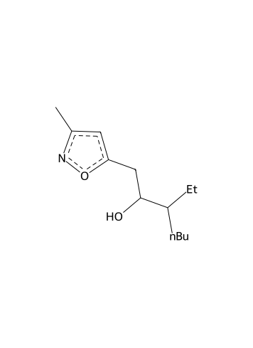 CCCCC(CC)C(O)Cc1cc(C)no1